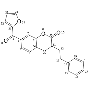 O=C(c1ccc2c(c1)OC(=O)C(CCc1ccccc1)C2)c1ccco1